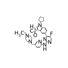 CCN1CCN(Cc2ccc(Nc3ncc(F)c(-c4ccc5c(c4)c(C(C)=O)cn5C4CCCC4)n3)nc2)CC1